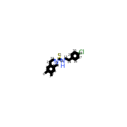 Cc1cc2c(cc1C)CN(C(=S)NCCc1ccc(Cl)cc1)CC2